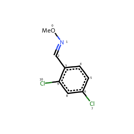 CON=Cc1ccc(Cl)cc1Cl